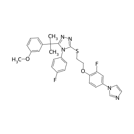 COc1cccc(C(C)(C)c2nnc(SCCOc3ccc(-n4ccnc4)cc3F)n2-c2ccc(F)cc2)c1